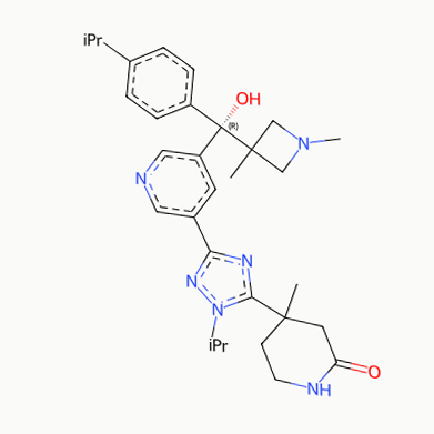 CC(C)c1ccc([C@](O)(c2cncc(-c3nc(C4(C)CCNC(=O)C4)n(C(C)C)n3)c2)C2(C)CN(C)C2)cc1